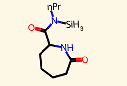 CCCN([SiH3])C(=O)C1CCCCC(=O)N1